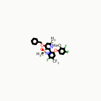 COc1c(Oc2cc(C(F)(F)F)c(F)cc2-c2nc(C)cc(OCc3ccccc3)c2S(C)(=N)=O)ccc(F)c1F